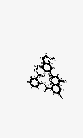 Cc1cc(C(C)Nc2ccccc2C(=O)OC(C)(C)C)c2oc(-c3ccc4ccn(C)c4c3)cc(=O)c2c1